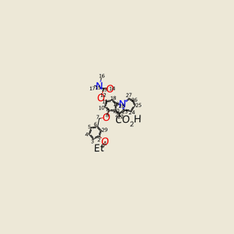 CCOc1cccc(COc2cc(OC(=O)N(C)C)cc3c2c(C(=O)O)c2ccccn23)c1